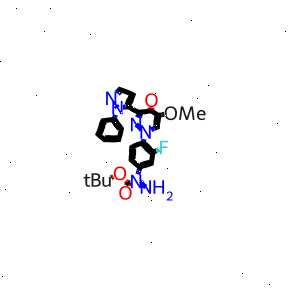 COc1cn(-c2ccc(N(N)C(=O)OC(C)(C)C)cc2F)nc(-c2ccnn2-c2ccccc2)c1=O